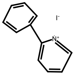 C1=CC=C(c2ccccc2)[N+]=C1.[I-]